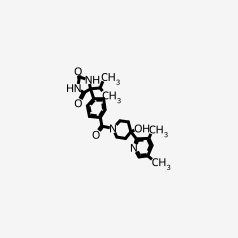 Cc1cnc(C2(O)CCN(C(=O)c3ccc(C4(C(C)C)NC(=O)NC4=O)cc3)CC2)c(C)c1